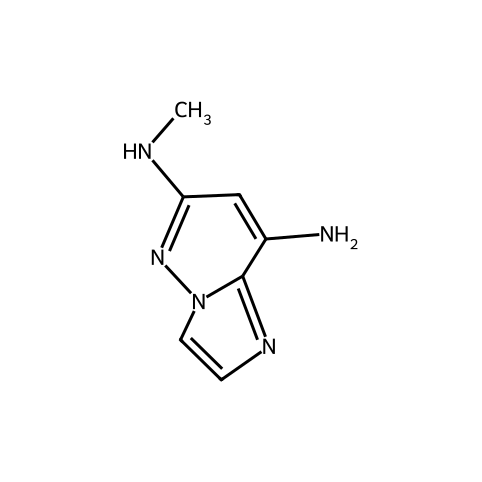 CNc1cc(N)c2nccn2n1